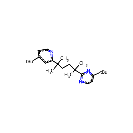 CC(C)(C)c1ccnc(C(C)(C)CCC(C)(C)c2nccc(C(C)(C)C)n2)c1